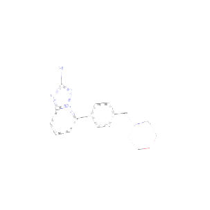 Nc1nc2cccc(-c3ccc(CN4CCOCC4)cc3)n2n1